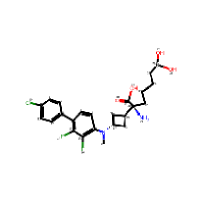 CN(c1ccc(-c2ccc(Cl)cc2)c(F)c1F)[C@H]1C[C@H]([C@@](N)(CCCCB(O)O)C(=O)O)C1